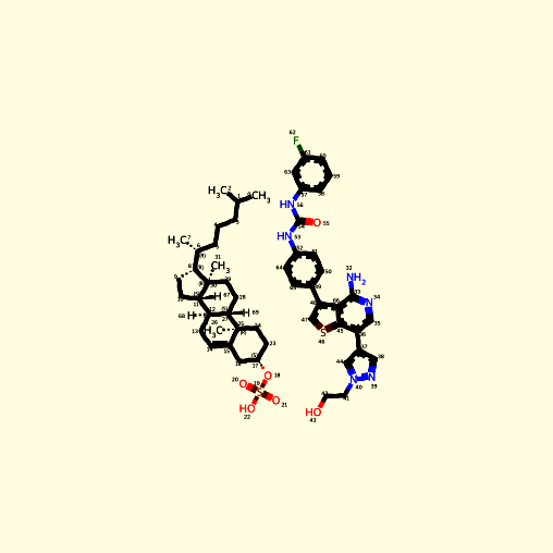 CC(C)CCC[C@@H](C)[C@H]1CC[C@H]2[C@@H]3CC=C4C[C@@H](OS(=O)(=O)O)CC[C@]4(C)[C@H]3CC[C@]12C.Nc1ncc(-c2cnn(CCO)c2)c2scc(-c3ccc(NC(=O)Nc4cccc(F)c4)cc3)c12